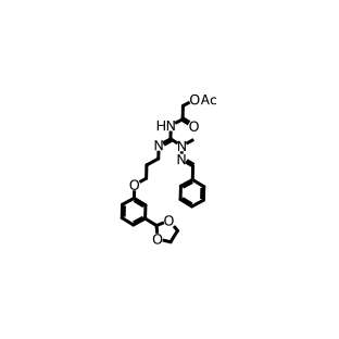 CC(=O)OCC(=O)NC(=NCCCOc1cccc(C2OCCO2)c1)N(C)N=Cc1ccccc1